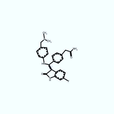 CN(C)Cc1ccc(N/C(=C2\C(=O)Nc3cc(F)ccc32)c2ccc(CC(N)=O)cc2)cc1